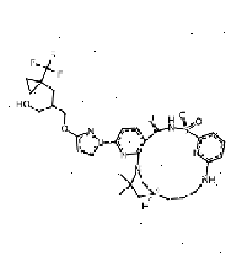 CC1(C)C[C@@H]2CCCNc3cccc(n3)S(=O)(=O)NC(=O)c3ccc(-n4ccc(OCC(CO)CC5(C(F)(F)F)CC5)n4)nc3N1C2